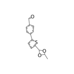 CC1OC(c2ccc(-c3ccc(C=O)cc3)s2)O1